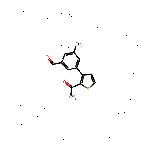 CC(=O)c1sccc1-c1cc(C)cc(C=O)c1